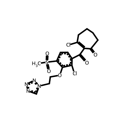 CS(=O)(=O)c1ccc(C(=O)C2=C(Cl)CCCCC2=O)c(Cl)c1OCCn1cnnn1